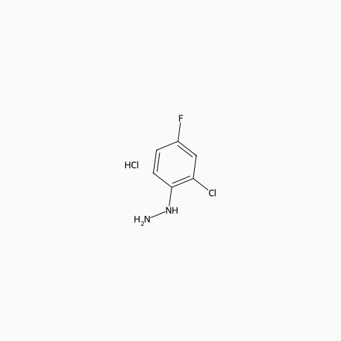 Cl.NNc1ccc(F)cc1Cl